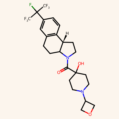 O=C(N1CC[C@H]2c3ccc(C(F)(C(F)(F)F)C(F)(F)F)cc3CCC21)C1(O)CCN(C2COC2)CC1